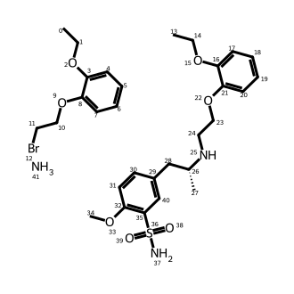 CCOc1ccccc1OCCBr.CCOc1ccccc1OCCN[C@H](C)Cc1ccc(OC)c(S(N)(=O)=O)c1.N